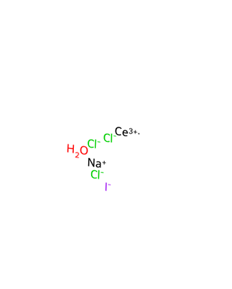 O.[Ce+3].[Cl-].[Cl-].[Cl-].[I-].[Na+]